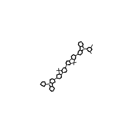 Cc1cc(C)cc(-n2c3ccccc3c3cc(-c4ccc5c(c4)C(C)(C)c4cc(-c6ccc7c(c6)C(C)(C)c6cc(-c8ccc9c(c8)c8ccccc8n9-c8ccccc8)ccc6-7)ccc4-5)ccc32)c1